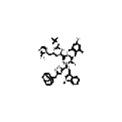 Cc1cc(O)cc(C)c1C[C@H](NC(=O)[C@@H](CCCn1ccnc1N)NC(=O)OC(C)(C)C)C(=O)N[C@@H](Cc1cn(C)c2ccccc12)c1nc(CC23CC4CC(CC(C4)C2)C3)no1